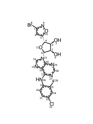 O[C@@H]1[C@H](O)[C@@H](c2cc(Br)no2)O[C@H]1n1cnc2c(Nc3ccc(Cl)cc3F)ncnc21